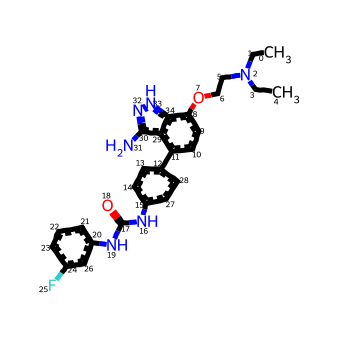 CCN(CC)CCOc1ccc(-c2ccc(NC(=O)Nc3cccc(F)c3)cc2)c2c(N)n[nH]c12